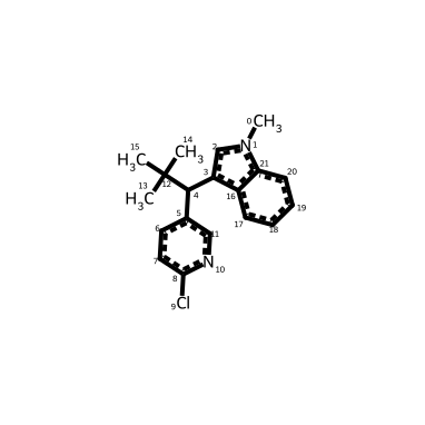 Cn1cc(C(c2ccc(Cl)nc2)C(C)(C)C)c2ccccc21